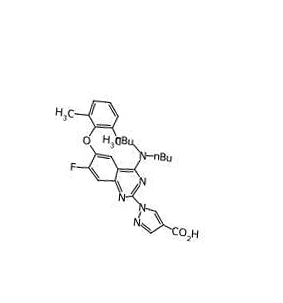 CCCCN(CCCC)c1nc(-n2cc(C(=O)O)cn2)nc2cc(F)c(Oc3c(C)cccc3C)cc12